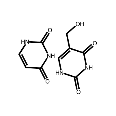 O=c1[nH]cc(CO)c(=O)[nH]1.O=c1cc[nH]c(=O)[nH]1